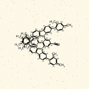 Cc1ccc(-c2ccc3c4ccc(-c5ccc(C)cc5C)cc4n(-c4cc(C#N)cc(-n5c6cc(-c7ccc(C)cc7C)ccc6c6ccc(-c7ccc(C)cc7C)cc65)c4-c4nc(C)cc(C)n4)c3c2)c(C)c1